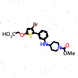 COC(=O)N1CCC(Nc2cccc(-c3sc(OCC(=O)O)cc3Br)c2)CC1